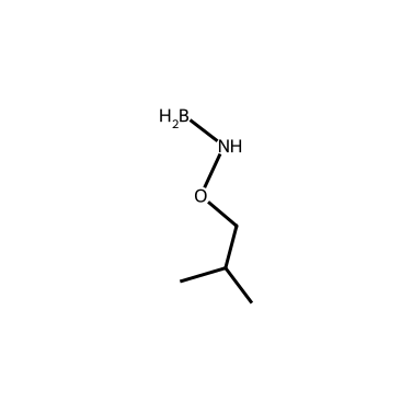 BNOCC(C)C